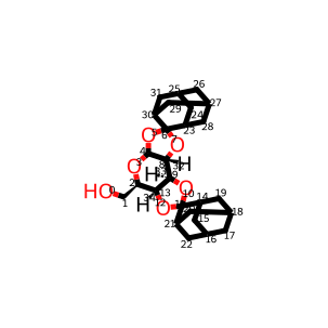 OC[C@H]1OC2OC3(O[C@@H]2[C@H]2OC4(O[C@H]21)C1CC2CC(C1)CC4C2)C1CC2CC(C1)CC3C2